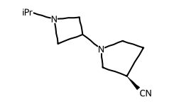 CC(C)N1CC(N2CC[C@@H](C#N)C2)C1